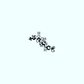 COC(=O)N1CCC(Nc2ncnc3c2ncn3[C@@H]2O[C@H](c3cc(C(C)(C)C)no3)[C@@H](O)[C@@H]2O)CC1